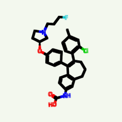 Cc1ccc(C2=C(c3ccc(O[C@H]4CCN(CCCF)C4)cc3)c3ccc(NC(=O)O)cc3CCC2)c(Cl)c1